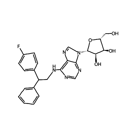 OC[C@H]1O[C@@H](n2cnc3c(NCC(c4ccccc4)c4ccc(F)cc4)ncnc32)[C@H](O)[C@@H]1O